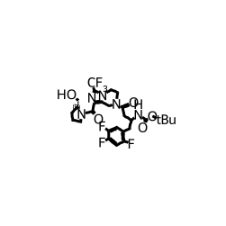 CC(C)(C)OC(=O)NC(CC(=O)N1CCn2c(C(F)(F)F)nc(C(=O)N3CCC[C@@H]3CO)c2C1)Cc1cc(F)c(F)cc1F